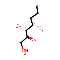 CCC[C@H](O)[C@@H](O)C(=O)CO